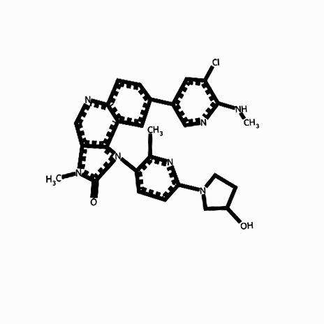 CNc1ncc(-c2ccc3ncc4c(c3c2)n(-c2ccc(N3CCC(O)C3)nc2C)c(=O)n4C)cc1Cl